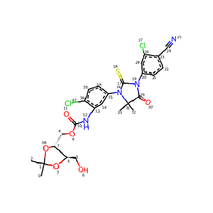 CC1(C)O[C@H](CO)[C@@H](COC(=O)Nc2cc(N3C(=S)N(c4ccc(C#N)c(Cl)c4)C(=O)C3(C)C)ccc2Cl)O1